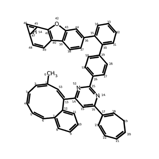 Cc1cccccc2ccccc2c(-c2cc(C3=CCC=CC=C3)nc(-c3ccc(-c4ccccc4-c4ccc5c6c(oc5c4)C4=C[C@@H]4C=C6)cc3)n2)c1